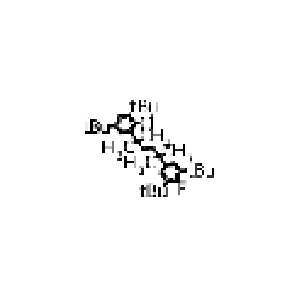 CC(C)(C)c1cc(C(C)(C)C)c(Cl)c(C(C)(C)CCC(C)(C)c2cc(C(C)(C)C)c(F)c(C(C)(C)C)c2)c1